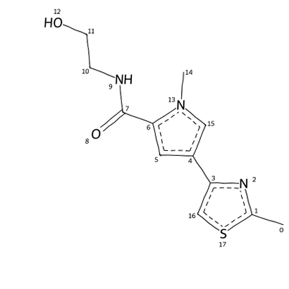 Cc1nc(-c2cc(C(=O)NCCO)n(C)c2)cs1